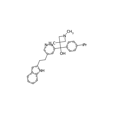 CC(C)c1ccc(C(O)(c2cncc(CCc3cc4ccccc4[nH]3)c2)C2(C)CN(C)C2)cc1